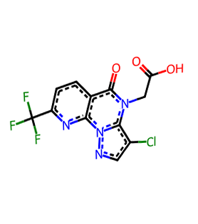 O=C(O)Cn1c(=O)c2ccc(C(F)(F)F)nc2n2ncc(Cl)c12